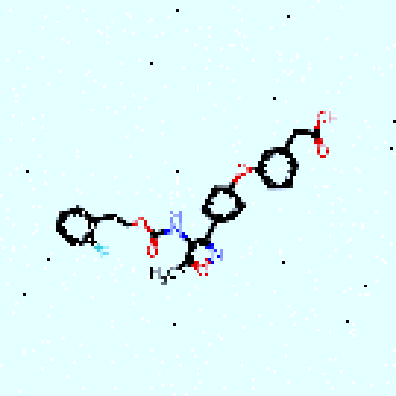 Cc1onc(-c2ccc(Oc3cccc(CC(=O)O)c3)cc2)c1NC(=O)OCCc1ccccc1F